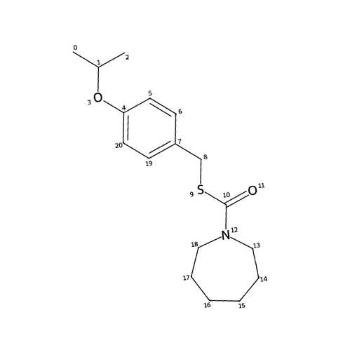 CC(C)Oc1ccc(CSC(=O)N2CCCCCC2)cc1